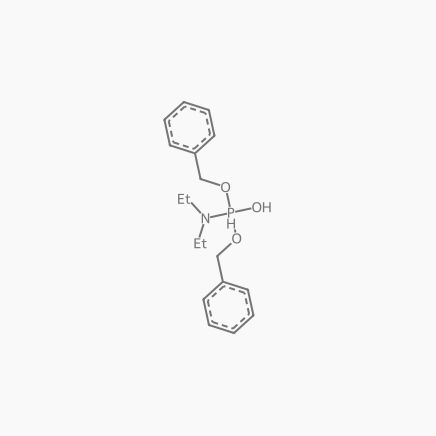 CCN(CC)[PH](O)(OCc1ccccc1)OCc1ccccc1